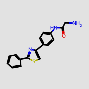 NCC(=O)Nc1ccc(-c2csc(-c3ccccc3)n2)cc1